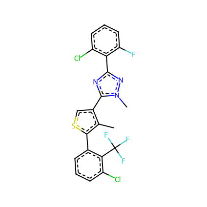 Cc1c(-c2nc(-c3c(F)cccc3Cl)nn2C)csc1-c1cccc(Cl)c1C(F)(F)F